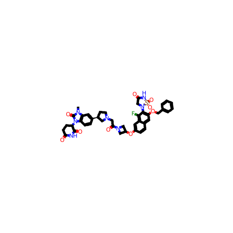 Cn1c(=O)n(C2CCC(=O)NC2=O)c2ccc([C@H]3CCN(CC(=O)N4CC(Oc5ccc6cc(OCc7ccccc7)c(N7CC(=O)NS7(=O)=O)c(F)c6c5)C4)C3)cc21